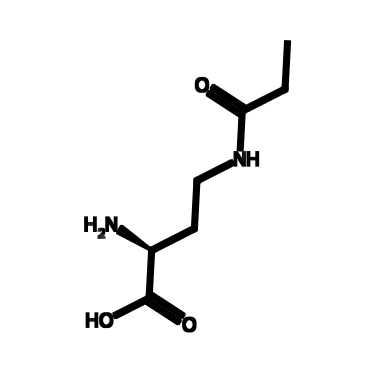 CCC(=O)NCC[C@H](N)C(=O)O